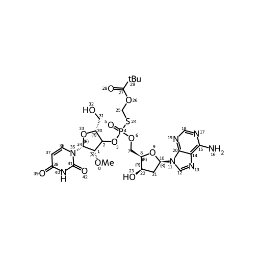 CO[C@H]1C(OP(=O)(OC[C@H]2O[C@@H](n3cnc4c(N)ncnc43)C[C@H]2O)SCOC(=O)C(C)(C)C)[C@@H](CO)O[C@H]1n1ccc(=O)[nH]c1=O